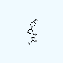 CN1CCN(c2cccc(Nc3n[nH]c(N)n3)c2)CC1